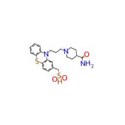 NC(=O)C1CCN(CCCN2c3ccccc3Sc3ccc(C[SH](=O)=O)cc32)CC1